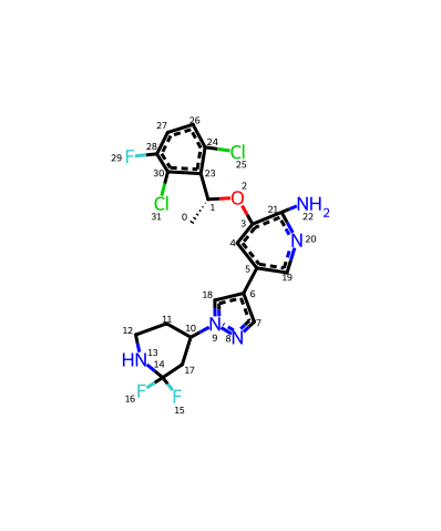 C[C@@H](Oc1cc(-c2cnn(C3CCNC(F)(F)C3)c2)cnc1N)c1c(Cl)ccc(F)c1Cl